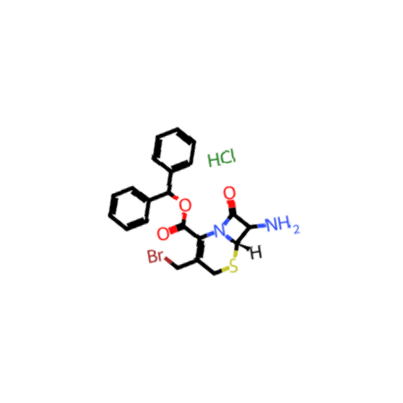 Cl.NC1C(=O)N2C(C(=O)OC(c3ccccc3)c3ccccc3)=C(CBr)CS[C@@H]12